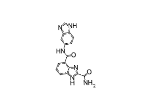 NC(=O)c1nc2c(C(=O)Nc3ccc4[nH]cnc4c3)cccc2[nH]1